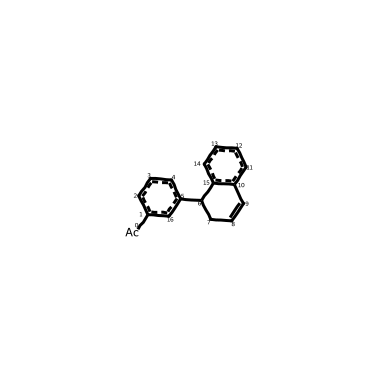 CC(=O)c1cccc(C2CC=Cc3ccccc32)c1